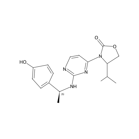 CC(C)C1COC(=O)N1c1ccnc(N[C@@H](C)c2ccc(O)cc2)n1